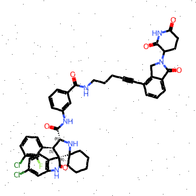 O=C1CCC(N2Cc3c(C#CCCCNC(=O)c4cccc(NC(=O)[C@@H]5NC6(CCCCC6)[C@@]6(C(=O)Nc7cc(Cl)ccc76)[C@H]5c5cccc(Cl)c5F)c4)cccc3C2=O)C(=O)N1